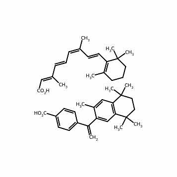 C=C(c1ccc(C(=O)O)cc1)c1cc2c(cc1C)C(C)(C)CCC2(C)C.CC1=C(/C=C/C(C)=C\C=C\C(C)=C\C(=O)O)C(C)(C)CCC1